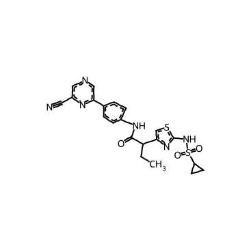 CCC(C(=O)Nc1ccc(-c2cncc(C#N)n2)cc1)c1csc(NS(=O)(=O)C2CC2)n1